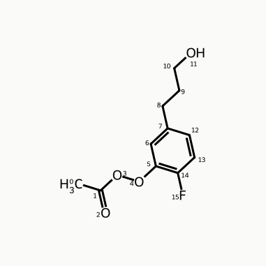 CC(=O)OOc1cc(CCCO)ccc1F